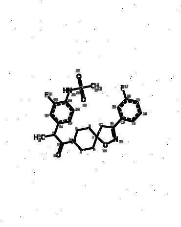 CC(C(=O)N1CCC2(CC1)CC(c1cccc(F)c1)=NO2)c1ccc(NS(C)(=O)=O)c(F)c1